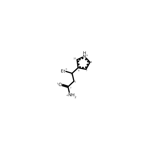 CCC(CC(N)=O)c1cc[nH]c1